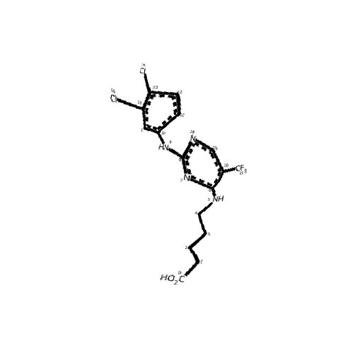 O=C(O)CCCCNc1nc(Nc2ccc(Cl)c(Cl)c2)ncc1C(F)(F)F